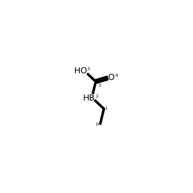 CCBC(=O)O